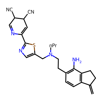 C=C1CCc2c1ccc(CCN(CCC)Cc1cnc(C3=CC(C#N)C(C#N)C=N3)s1)c2N